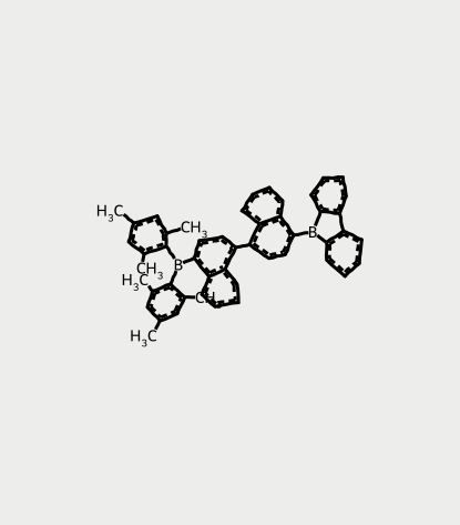 Cc1cc(C)c(B(c2c(C)cc(C)cc2C)c2ccc(-c3ccc(B4c5ccccc5-c5ccccc54)c4ccccc34)c3ccccc23)c(C)c1